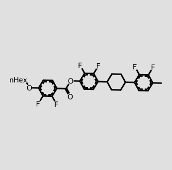 CCCCCCOc1ccc(C(=O)Oc2ccc(C3CCC(c4ccc(C)c(F)c4F)CC3)c(F)c2F)c(F)c1F